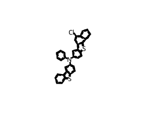 Clc1cc2c3cc(N(c4ccccc4)c4ccc5sc6ccccc6c5c4)ccc3sc2c2ccccc12